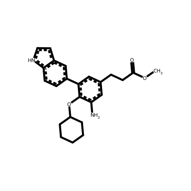 COC(=O)CCc1cc(N)c(OC2CCCCC2)c(-c2ccc3[nH]ccc3c2)c1